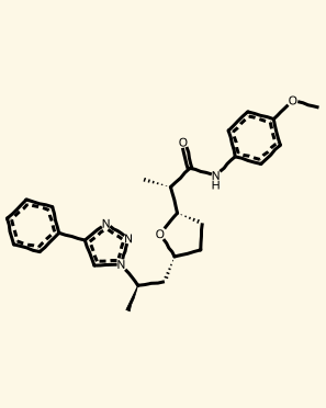 COc1ccc(NC(=O)[C@@H](C)[C@@H]2CC[C@H](C[C@@H](C)n3cc(-c4ccccc4)nn3)O2)cc1